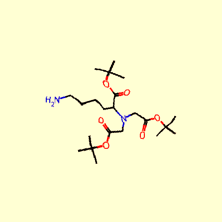 CC(C)(C)OC(=O)CN(CC(=O)OC(C)(C)C)C(CCCCN)C(=O)OC(C)(C)C